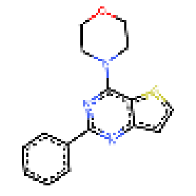 [c]1cccc(-c2nc(N3CCOCC3)c3sccc3n2)c1